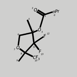 CCCC(=O)OC1(C)COC(C)(C(F)(F)F)C1(F)F